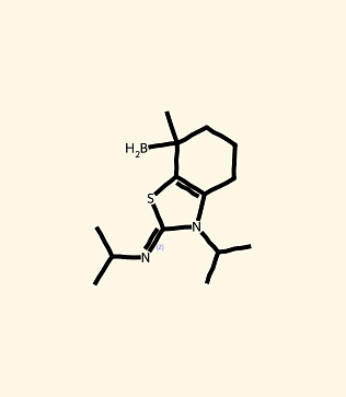 BC1(C)CCCc2c1s/c(=N\C(C)C)n2C(C)C